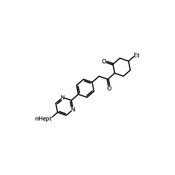 CCCCCCCc1cnc(-c2ccc(CC(=O)C3CCC(CC)CC3=O)cc2)nc1